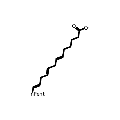 CCCCCC=CCC=CCC=CCCCCC([O])=O